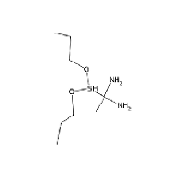 CCCO[SiH](OCCC)C(C)(N)N